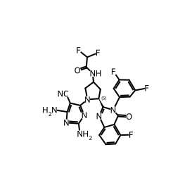 N#Cc1c(N)nc(N)nc1N1CC(NC(=O)C(F)F)C[C@H]1c1nc2cccc(F)c2c(=O)n1-c1cc(F)cc(F)c1